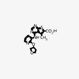 Cc1c(C(=O)O)sc2ncnc(Nc3cccnc3O[C@H]3CCOC3)c12